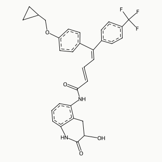 O=C(/C=C/C=C(\c1ccc(OCC2CC2)cc1)c1ccc(C(F)(F)F)cc1)Nc1cccc2c1CC(O)C(=O)N2